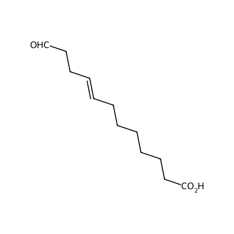 O=CCCC=CCCCCCCC(=O)O